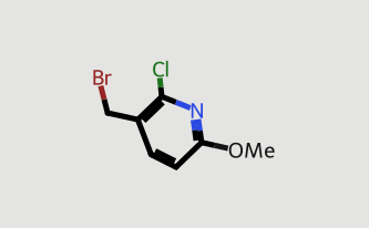 COc1ccc(CBr)c(Cl)n1